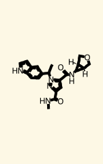 CNC(=O)c1cc(C(=O)NC2[C@H]3COC[C@@H]23)n(C(C)c2ccc3[nH]ccc3c2)n1